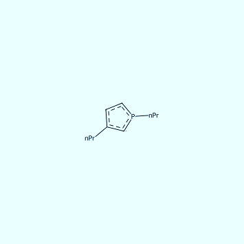 CCCc1[c]p(CCC)cc1